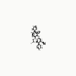 CCCCc1nc(C)n(-c2ccsc2)c(=O)c1Cc1ccc(-c2ccccc2)c(C#N)c1